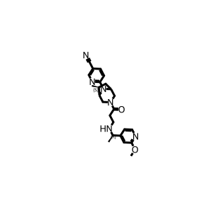 COc1cc([C@@H](C)NCCC(=O)N2CC3C[C@H](C)C(C2)N3c2ccc(C#N)cn2)ccn1